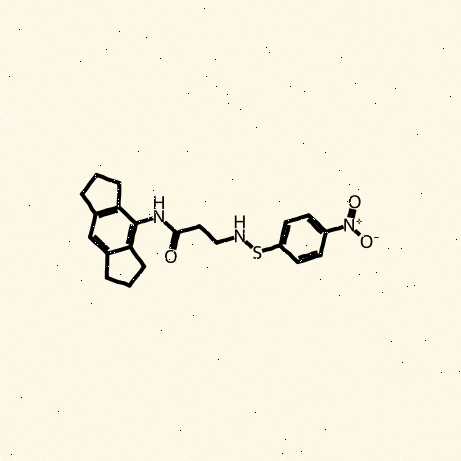 O=C(CCNSc1ccc([N+](=O)[O-])cc1)Nc1c2c(cc3c1CCC3)CCC2